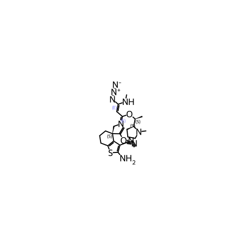 C=NOC(=C)[C@@]1(C/N=C(\C=C(\N=[N+]=[N-])NC)O[C@@H](C)[C@@H]2CCCN2C)CCCc2sc(N)c(C#N)c21